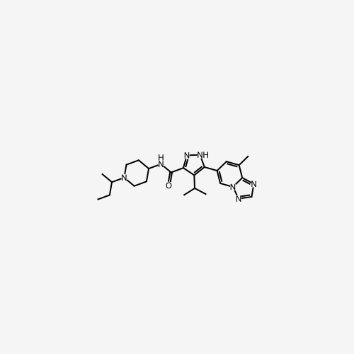 CCC(C)N1CCC(NC(=O)c2n[nH]c(-c3cc(C)c4ncnn4c3)c2C(C)C)CC1